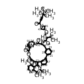 CCn1c(-c2cccnc2C(C)C)c2c3cc(ccc31)-c1cccc(c1)C[C@H](NC(=O)[C@H](COC1CN(C(=O)C#CC(C)(C)N(C)C)C1)C(C)C)C(=O)N1CCC[C@H](N1)C(=O)OCC(C)(C)C2